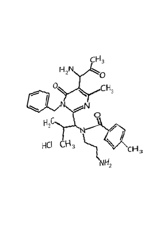 CC(=O)C(N)c1c(C)nc(C(C(C)C)N(CCCN)C(=O)c2ccc(C)cc2)n(Cc2ccccc2)c1=O.Cl